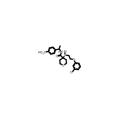 CCN(CCOc1cccc(Cl)c1)C1(C(=O)NC(C)c2ccc(C(=O)O)cc2)CCOCC1